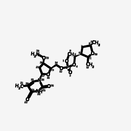 COP(=O)(OC[C@@H]1C[C@H](C)OC1C)OC[C@H]1O[C@@H](n2cc(C)c(=O)[nH]c2=O)C[C@H]1ON